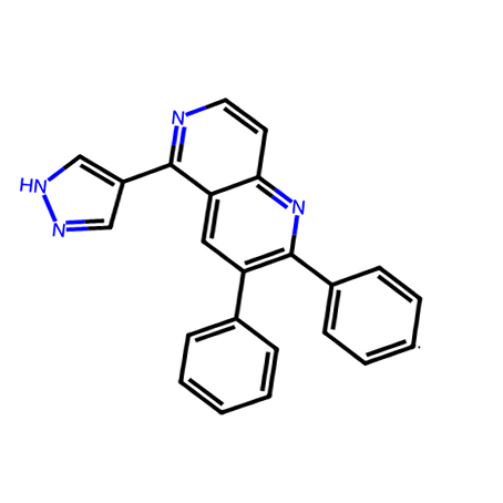 [c]1ccc(-c2nc3ccnc(-c4cn[nH]c4)c3cc2-c2ccccc2)cc1